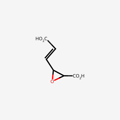 O=C(O)C=CC1OC1C(=O)O